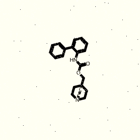 O=C(Nc1ccccc1-c1ccccc1)OCC12CCN(CC1)CC2